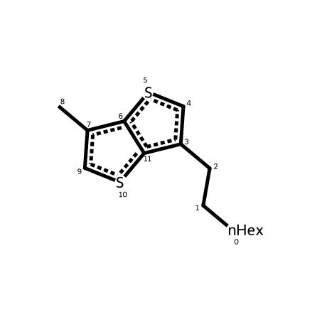 CCCCCCCCc1csc2c(C)csc12